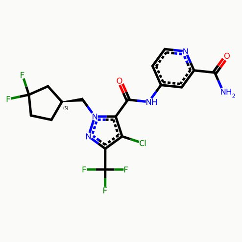 NC(=O)c1cc(NC(=O)c2c(Cl)c(C(F)(F)F)nn2C[C@H]2CCC(F)(F)C2)ccn1